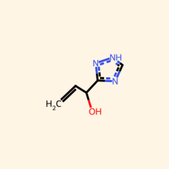 C=CC(O)c1nc[nH]n1